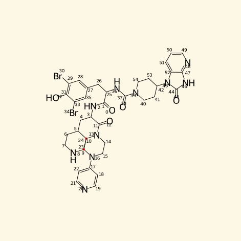 O=C(NC(CC1CCNCC1)C(=O)N1CCN(c2ccncc2)CC1)C(Cc1cc(Br)c(O)c(Br)c1)NC(=O)N1CCC(n2c(=O)[nH]c3ncccc32)CC1